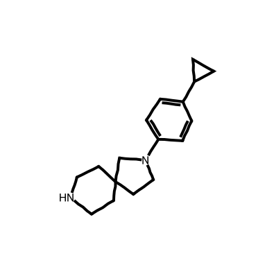 c1cc(N2CCC3(CCNCC3)C2)ccc1C1CC1